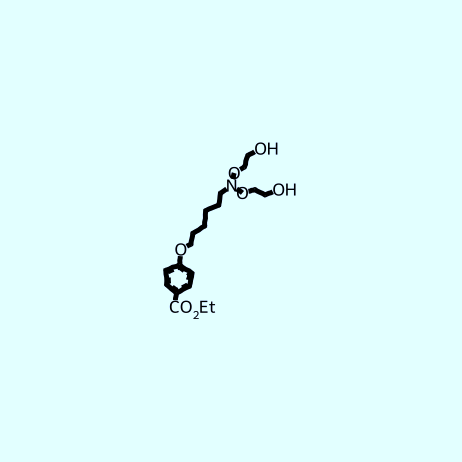 CCOC(=O)c1ccc(OCCCCCCN(OCCO)OCCO)cc1